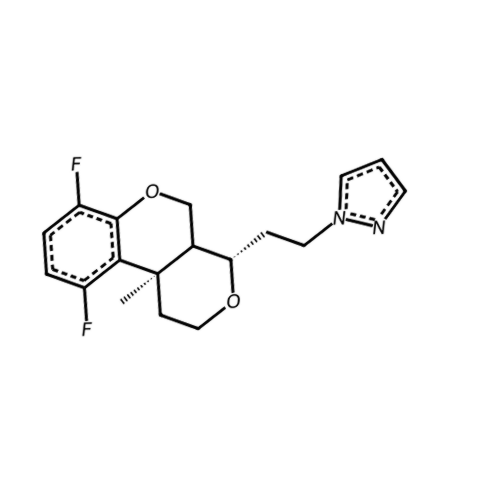 C[C@@]12CCO[C@@H](CCn3cccn3)C1COc1c(F)ccc(F)c12